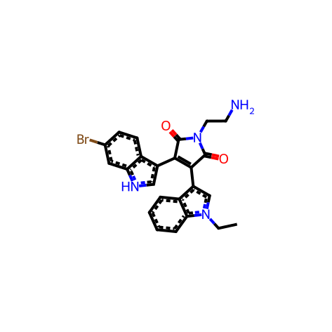 CCn1cc(C2=C(c3c[nH]c4cc(Br)ccc34)C(=O)N(CCN)C2=O)c2ccccc21